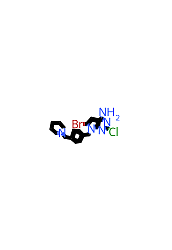 Nc1nc(Cl)nc2c1cc(Br)n2Cc1ccc(CN2CCCCC2)cc1